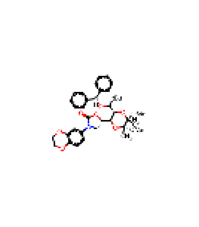 CO[C@]1(C)O[C@@H]([C@@H]2CN(c3ccc4c(c3)OCCO4)C(=O)O2)[C@@H](C(O[SiH](c2ccccc2)c2ccccc2)C(C)(C)C)O[C@@]1(C)OC